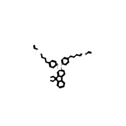 C=CCOCCCCc1ccc(N(c2ccc(CCCCOCC=C)cc2)c2ccc3c(c2)C(CC)(CC)c2ccccc2-3)cc1